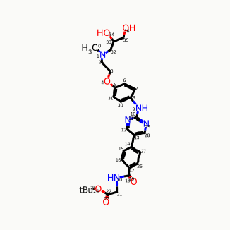 CN(CCOc1ccc(Nc2ncc(-c3ccc(C(=O)NCC(=O)OC(C)(C)C)cc3)cn2)cc1)CC(O)CO